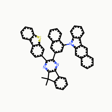 CC1(C)c2ccccc2-c2nc(-c3cc(-n4c5ccccc5c5cc6ccccc6cc54)c4ccccc4c3)c(-c3ccc4c(c3)sc3ccccc34)nc21